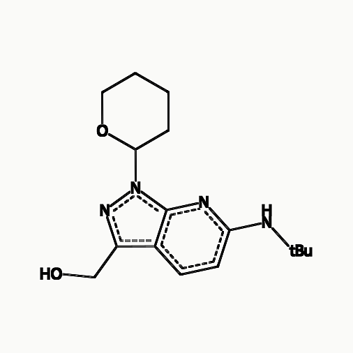 CC(C)(C)Nc1ccc2c(CO)nn(C3CCCCO3)c2n1